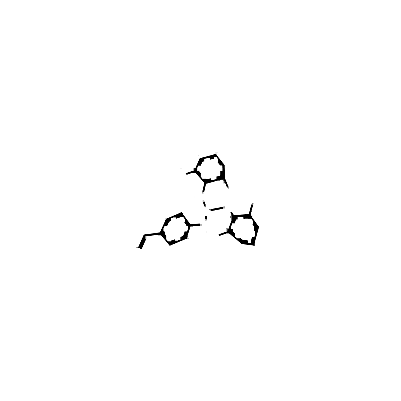 C=Cc1ccc(OP(Oc2c(CC)cccc2CC)Oc2c(CC)cccc2CC)cc1